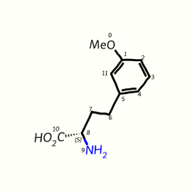 COc1cccc(CC[C@H](N)C(=O)O)c1